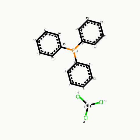 [Cl][Rh]([Cl])[Cl].c1ccc(P(c2ccccc2)c2ccccc2)cc1